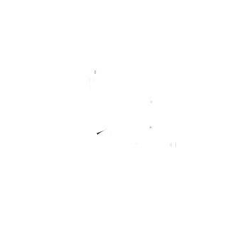 CC(C)S[SH](C(C)C)C1O[C@H](CO)[C@H](O)[C@H](O)[C@H]1O